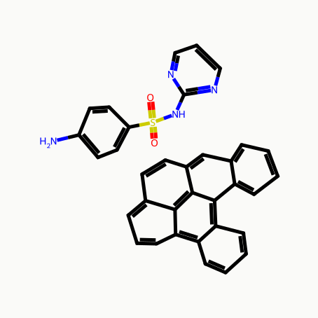 Nc1ccc(S(=O)(=O)Nc2ncccn2)cc1.c1ccc2c(c1)cc1ccc3cccc4c5ccccc5c2c1c34